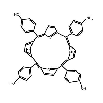 Nc1ccc(-c2c3nc(c(-c4ccc(O)cc4)c4ccc([nH]4)c(-c4ccc(O)cc4)c4nc(c(-c5ccc(O)cc5)c5ccc2[nH]5)C=C4)C=C3)cc1